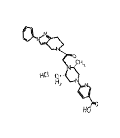 C[C@@H]1CN(c2ccc(C(=O)O)cn2)C[C@H](C)N1CC(=O)N1CCc2nn(-c3ccccc3)cc2C1.Cl